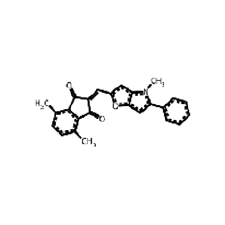 Cc1ccc(C)c2c1C(=O)C(=Cc1cc3c(cc(-c4ccccc4)n3C)o1)C2=O